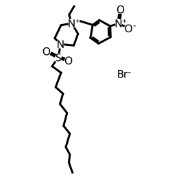 CCCCCCCCCCCCS(=O)(=O)N1CC[N+](CC)(Cc2cccc([N+](=O)[O-])c2)CC1.[Br-]